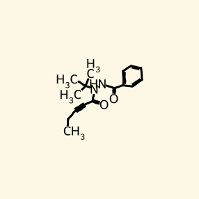 CCC#CC(=O)N(NC(=O)c1ccccc1)C(C)(C)C